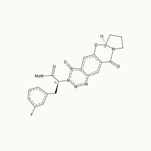 CNC(=O)[C@H](Cc1cccc(F)c1)n1nnc2cc3c(cc2c1=O)O[C@H]1CCCN1C3=O